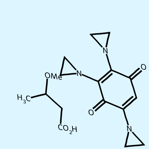 COC(C)CC(=O)O.O=C1C=C(N2CC2)C(=O)C(N2CC2)=C1N1CC1